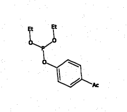 CCOP(OCC)Oc1ccc(C(C)=O)cc1